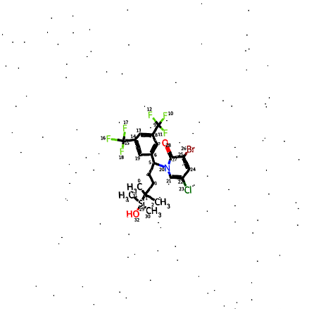 CC(C)(CCC(c1cc(C(F)(F)F)cc(C(F)(F)F)c1)n1cc(Cl)cc(Br)c1=O)[Si](C)(C)O